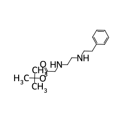 CC(C)(C)OC(=O)CNCCNCCc1ccccc1